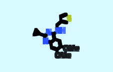 COc1cc2nc(C3CC3)nc(NCc3ccsc3)c2cc1OC